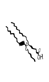 CCCCCCCCCCCC(=O)OCCCCCC.CCCCCCCCCCCCCCCCCC(=O)O